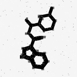 CC1CCCC(C(C)OC(=O)c2c[nH]c3ccccc23)N1